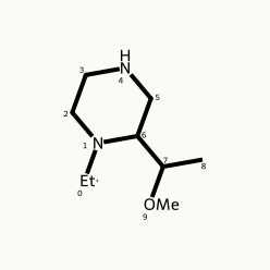 C[CH]N1CCNCC1C(C)OC